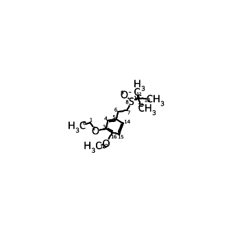 CCOc1cc(CC[S+]([O-])C(C)(C)C)ccc1OC